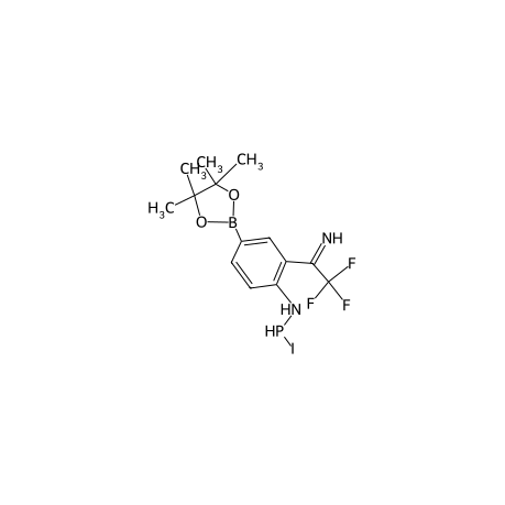 CC1(C)OB(c2ccc(NPI)c(C(=N)C(F)(F)F)c2)OC1(C)C